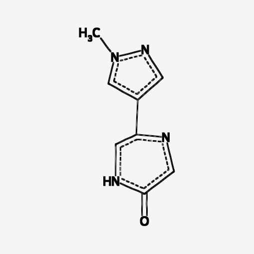 Cn1cc(-c2c[nH]c(=O)cn2)cn1